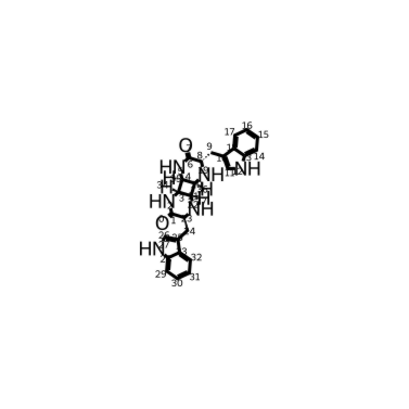 O=C1N[C@@H]2[C@H]3NC(=O)[C@H](Cc4c[nH]c5ccccc45)N[C@H]3[C@@H]2N[C@H]1Cc1c[nH]c2ccccc12